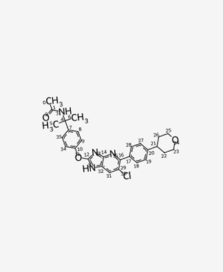 CC(=O)NC(C)(C)c1ccc(Oc2nc3nc(-c4ccc(C5CCOCC5)cc4)c(Cl)cc3[nH]2)cc1